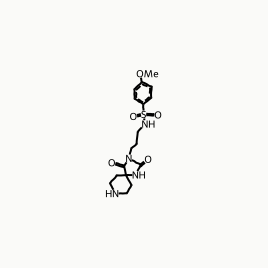 COc1ccc(S(=O)(=O)NCCCN2C(=O)NC3(CCNCC3)C2=O)cc1